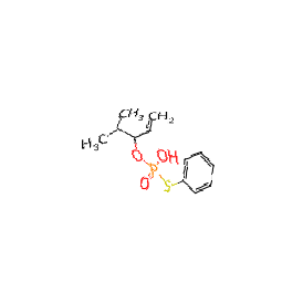 C=CC(OP(=O)(O)Sc1ccccc1)C(C)C